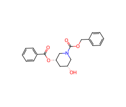 O=C(O[C@H]1C[C@@H](O)CN(C(=O)OCc2ccccc2)C1)c1ccccc1